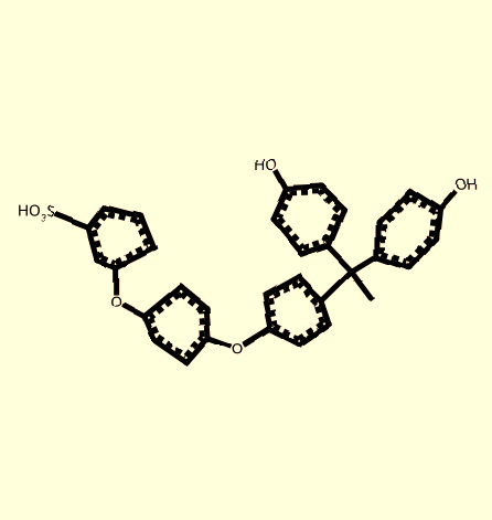 CC(c1ccc(O)cc1)(c1ccc(O)cc1)c1ccc(Oc2ccc(Oc3cccc(S(=O)(=O)O)c3)cc2)cc1